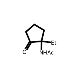 CCC1(NC(C)=O)CCCC1=O